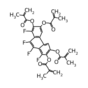 C=C(C)C(=O)Oc1cc2c(c(F)c1OC(=O)C(=C)C)c(F)c(F)c1c(F)c(OC(=O)C(=C)C)c(OC(=O)C(=C)C)cc12